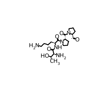 C[C@@H](O)[C@H](N)C(=O)N[C@@H](CCCCN)C(=O)N1CCC[C@H]1C(=O)N1CCC[C@H]1[C]=O